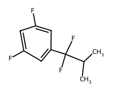 CC(C)C(F)(F)c1cc(F)cc(F)c1